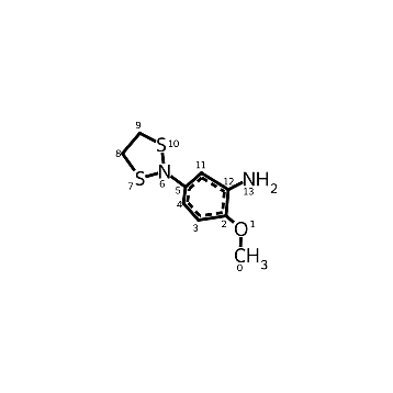 COc1ccc(N2SCCS2)cc1N